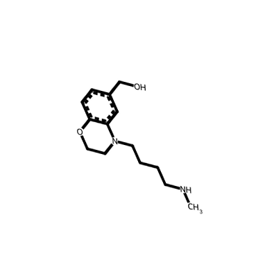 CNCCCCN1CCOc2ccc(CO)cc21